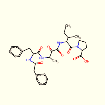 CCC(C)C(NC(=O)C(=O)C(C)NC(=O)C(Cc1ccccc1)NC(=O)Cc1ccccc1)C(=O)N1CCCC1C(=O)O